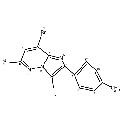 Cc1ccc(-c2nc3c(Br)cc(Cl)nn3c2I)cc1